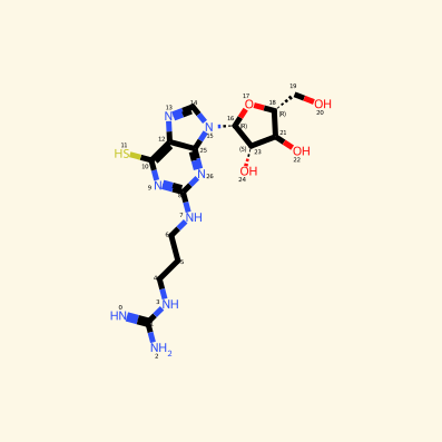 N=C(N)NCCCNc1nc(S)c2ncn([C@@H]3O[C@H](CO)C(O)[C@@H]3O)c2n1